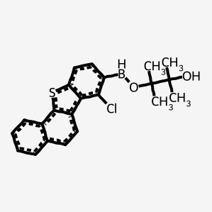 CC(C)(O)C(C)(C)OBc1ccc2sc3c4ccccc4ccc3c2c1Cl